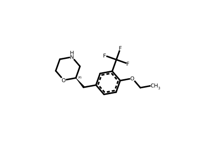 CCOc1ccc(C[C@@H]2CNCCO2)cc1C(F)(F)F